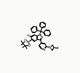 CC1(C)OB(c2cc3c(-c4ccnc(N5CC(F)C5)c4)nn(C(c4ccccc4)(c4ccccc4)c4ccccc4)c3cc2F)OC1(C)C